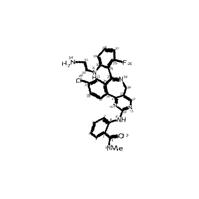 CNC(=O)c1ccccc1Nc1ncc2c(n1)-c1ccc(Cl)cc1C(c1c(F)cccc1NCCN)=NC2